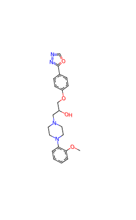 COc1ccccc1N1CCN(CC(O)COc2ccc(-c3nnco3)cc2)CC1